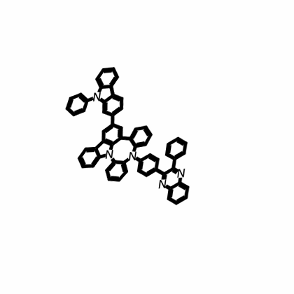 c1ccc(-c2nc3ccccc3nc2-c2ccc(-n3c4ccccc4c4cc(-c5ccc6c7ccccc7n(-c7ccccc7)c6c5)cc5c6ccccc6n(c6ccccc63)c45)cc2)cc1